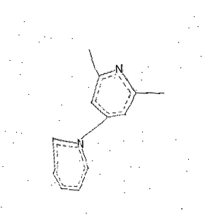 Cc1cc(C)nc(C)c1.c1ccncc1